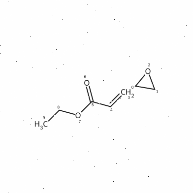 C1CO1.C=CC(=O)OCC